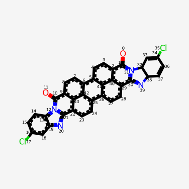 O=c1c2ccc3c4ccc5c(=O)n6c7ccc(Cl)cc7nc6c6ccc(c7ccc(c8n1C1C=C(Cl)C=CC1N=8)c2c37)c4c56